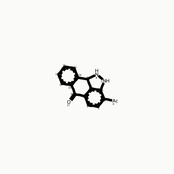 CC(=O)c1ccc2c3c1NNC3c1ccccc1C2=O